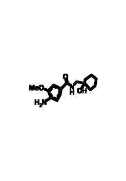 COc1cc(C(=O)NCC2(O)CCCCC2)ccc1N